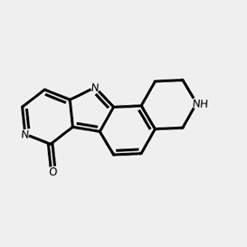 O=C1N=CC=C2N=c3c4c(ccc3=C12)CNCC4